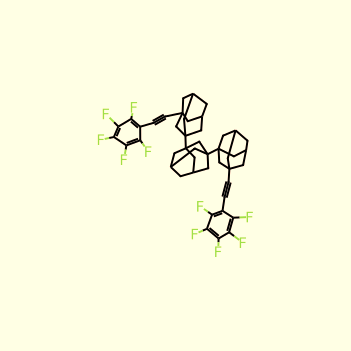 Fc1c(F)c(F)c(C#CC23CC4CC(C2)CC(C25CC6CC(C2)CC(C27CC8CC(CC(C#Cc9c(F)c(F)c(F)c(F)c9F)(C8)C2)C7)(C6)C5)(C4)C3)c(F)c1F